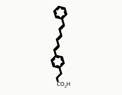 O=C(O)CCc1ccc(C=CC=CC=Cc2ccccc2)cc1